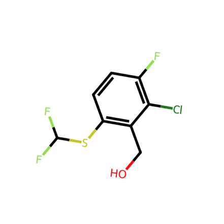 OCc1c(SC(F)F)ccc(F)c1Cl